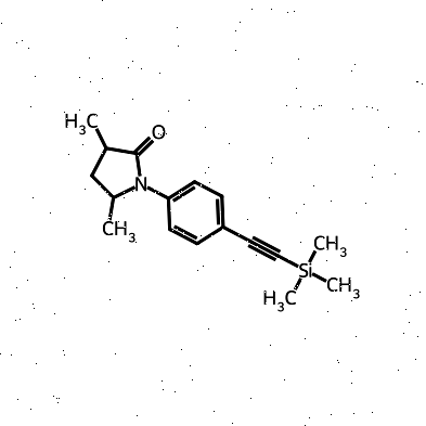 CC1CC(C)N(c2ccc(C#C[Si](C)(C)C)cc2)C1=O